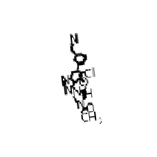 C=CC(=O)N1CCN2c3ncnc4cc(-c5cccc(CC#N)c5)c(Cl)c(c34)OC[C@@H]2C1